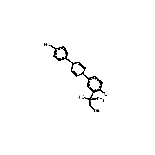 CC(C)(C)CC(C)(C)c1cc(C2C=CC(c3ccc(O)cc3)C=C2)ccc1O